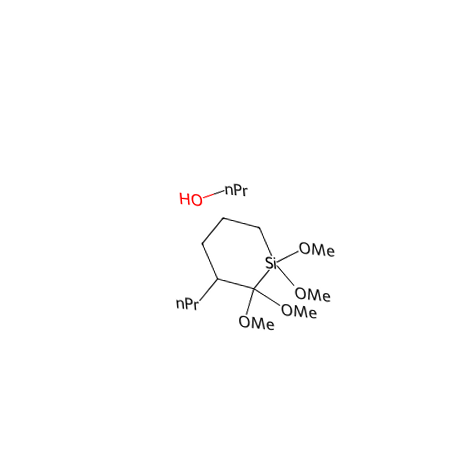 CCCC1CCC[Si](OC)(OC)C1(OC)OC.CCCO